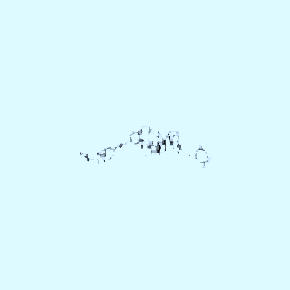 CN1C(=O)[C@@H](NC(=O)C(=O)NCCc2ccccc2)COc2ccc(C#CC3CCN(CC#N)CC3)cc21